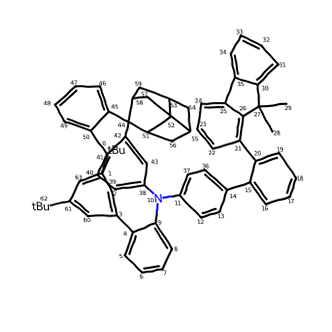 CC(C)(C)c1cc(-c2ccccc2N(c2ccc(-c3ccccc3-c3cccc4c3C(C)(C)c3ccccc3-4)cc2)c2ccc3c(c2)C2(c4ccccc4-3)C3CC4CC(C3)CC2C4)cc(C(C)(C)C)c1